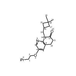 CC(C)CCOc1cnc2c(c1)CCC(=O)N2CC1CC(C)(C)C1